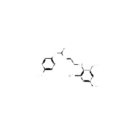 CCc1ccc(OC(C)OCCOc2c(C(C)C)cc(C(C)C)cc2C(C)C)cc1